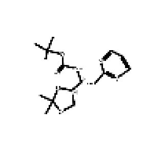 CC(C)(C)OC(=O)N[C@H](Cc1ncccn1)[C@H]1COC(C)(C)O1